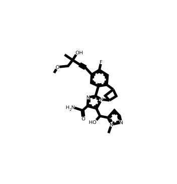 COCC(C)(O)C#Cc1cc2c(cc1F)C1CC(C1)n1c-2nc(C(N)=O)c1C(O)c1ccnn1C